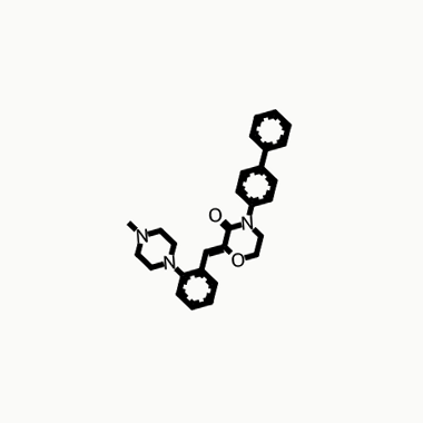 CN1CCN(c2ccccc2/C=C2\OCCN(c3ccc(-c4ccccc4)cc3)C2=O)CC1